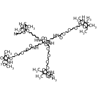 CC[C@H]1O[C@@H](OCCOCCOCCOCC(=O)NCCCC[C@H](NC(=O)COCCOCCOCCO[C@@H]2O[C@H](CC)[C@H](C)[C@H](C)[C@H]2NC(C)=O)C(=O)N[C@H](CCCCNC(=O)COCCOCCOCCO[C@@H]2O[C@H](CC)[C@H](C)[C@H](C)[C@H]2NC(C)=O)C(=O)NCCCCCCOP(OCCC#N)N(C(C)C)C(C)C)[C@H](NC(C)=O)[C@@H](C)[C@H]1C